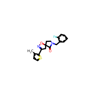 Cc1ccsc1C1=NOC2(CCN(Cc3ccccc3F)C2=O)C1